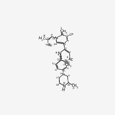 C=C1C(Cl)=CC(C(=C/C(C)=O)/N=C(/C=C\C(=C/C)N2CCNC(C)C2)C(C)CC)=CN1/C=C(/C)C(C)CC